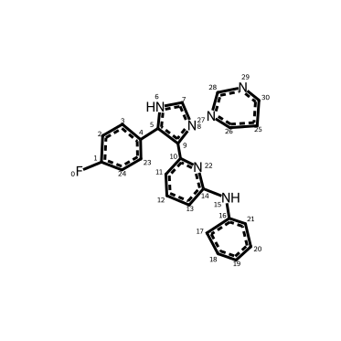 Fc1ccc(-c2[nH]cnc2-c2cccc(Nc3ccccc3)n2)cc1.c1cncnc1